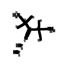 Br.Br.CC(C)(N)C(=O)C(C)(C)N